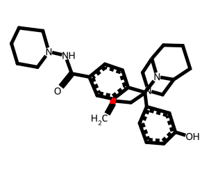 C=CCN1CC2CCCC(C1)N2C(c1ccc(C(=O)NN2CCCCC2)cc1)c1cccc(O)c1